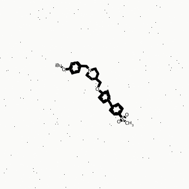 CCC(C)Oc1ccc(CN2CCC(COc3ccc(-c4ccc(S(C)(=O)=O)cc4)cc3)CC2)cc1